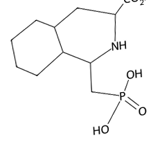 O=C(O)C1CC2CCCCC2C(CP(=O)(O)O)N1